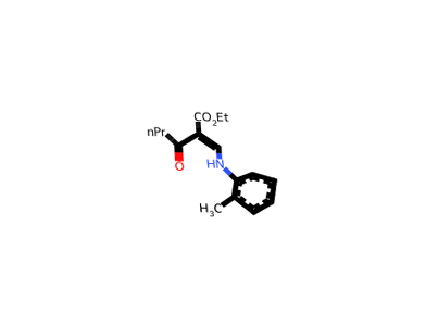 CCCC(=O)C(=CNc1ccccc1C)C(=O)OCC